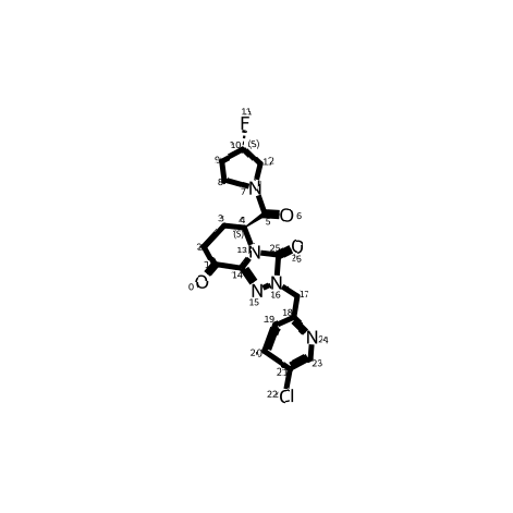 O=C1CC[C@@H](C(=O)N2CC[C@H](F)C2)n2c1nn(Cc1ccc(Cl)cn1)c2=O